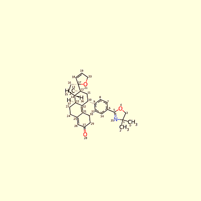 CC1(C)COC(c2ccc([C@H]3C[C@@]4(C)[C@@H](CC[C@@]45C=CCO5)[C@@H]4CCC5=CC(=O)CCC5=C43)cc2)=N1